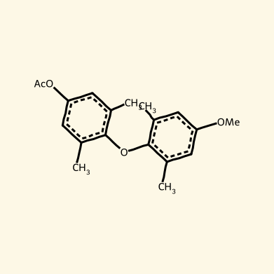 COc1cc(C)c(Oc2c(C)cc(OC(C)=O)cc2C)c(C)c1